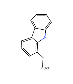 CCCCCCCCCc1cccc2c1[N]c1ccccc1-2